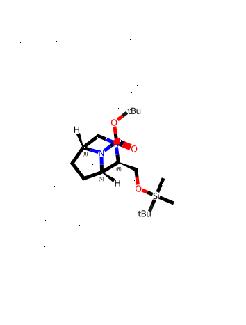 CC(C)(C)OC(=O)N1[C@@H]2CC[C@H]1[C@H](CO[Si](C)(C)C(C)(C)C)NC2